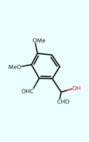 COc1ccc(C(O)[C]=O)c(C=O)c1OC